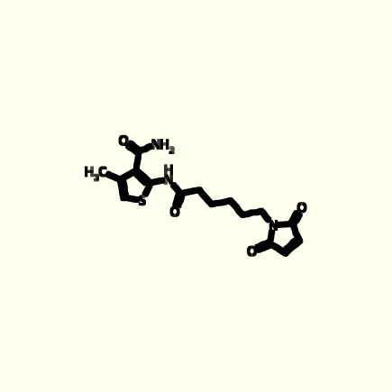 Cc1csc(NC(=O)CCCCCN2C(=O)C=CC2=O)c1C(N)=O